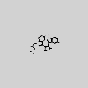 COC(CN(C)C)Cn1cc(C2=C(c3c[nH]c4ccc(C(F)(F)F)cc34)C(=O)NC2=O)c2cc(C(F)(F)F)ccc21